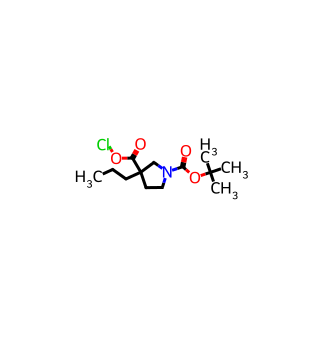 CCCC1(C(=O)OCl)CCN(C(=O)OC(C)(C)C)C1